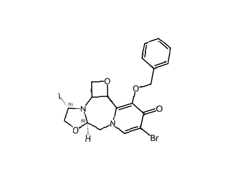 O=c1c(Br)cn2c(c1OCc1ccccc1)C1OCC1N1[C@@H](I)CO[C@@H]1C2